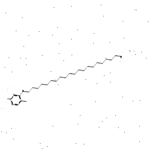 COC(=O)CCCCCCCCCCCCCCCCCCCCC(=O)c1c(C)cc(OC)c(OC)c1O